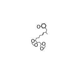 COc1cccc(CC(C)C=CCCCC2OCCOC2CC2COCCO2)c1